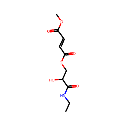 CCNC(=O)C(O)COC(=O)/C=C/C(=O)OC